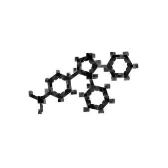 CN(C)c1ccc(-c2cnc(-c3ccccc3)n2-c2ccccc2)cc1